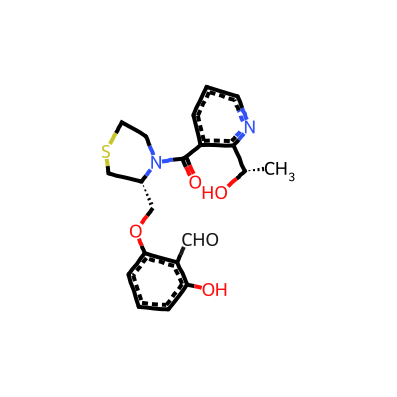 C[C@H](O)c1ncccc1C(=O)N1CCSC[C@H]1COc1cccc(O)c1C=O